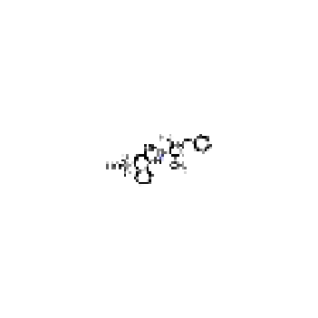 Cc1nn(Cc2ccccc2)c(O)c1/N=N/c1c(O)cc(S(=O)(=O)O)c2ccccc12